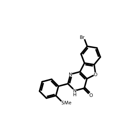 CSc1ccccc1-c1nc2c(oc3ccc(Br)cc32)c(=O)[nH]1